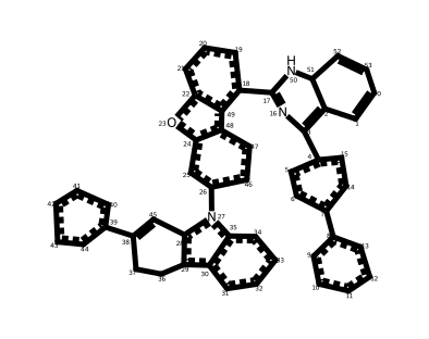 C1=CC2=C(c3ccc(-c4ccccc4)cc3)N=C(c3cccc4oc5cc(-n6c7c(c8ccccc86)CCC(c6ccccc6)=C7)ccc5c34)NC2C=C1